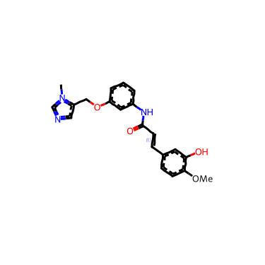 COc1ccc(/C=C/C(=O)Nc2cccc(OCc3cncn3C)c2)cc1O